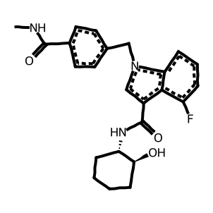 CNC(=O)c1ccc(Cn2cc(C(=O)N[C@H]3CCCC[C@@H]3O)c3c(F)cccc32)cc1